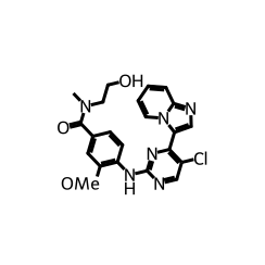 COc1cc(C(=O)N(C)CCO)ccc1Nc1ncc(Cl)c(-c2cnc3ccccn23)n1